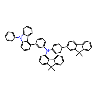 CC1(C)c2ccccc2-c2ccc(C3C=CC(N(c4cccc(-c5cccc6c5c5ccccc5n6-c5ccccc5)c4)c4cccc5c4-c4ccccc4C5(C)C)=CC3)cc21